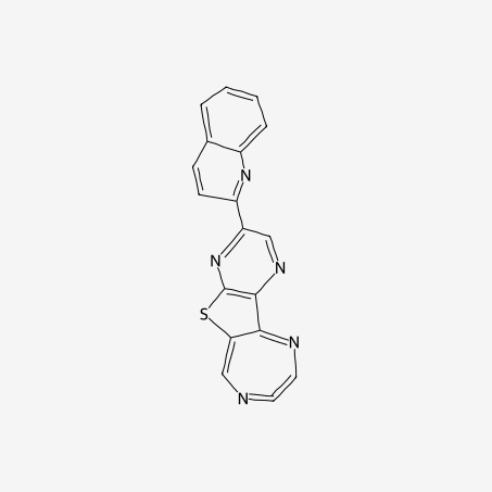 C1=CN=c2c(sc3nc(-c4ccc5ccccc5n4)cnc23)=CN=1